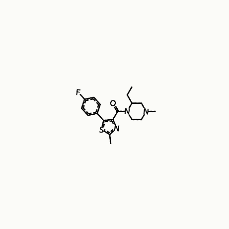 CCC1CN(C)CCN1C(=O)c1nc(C)sc1-c1ccc(F)cc1